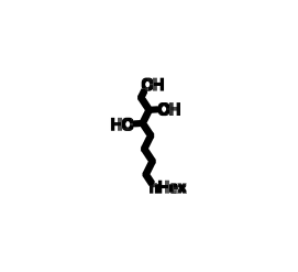 CCCCCCCCCCC(O)C(O)CO